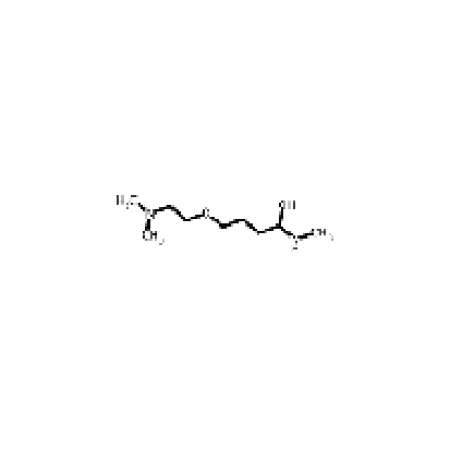 CNC(O)CCCOCCN(C)C